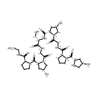 O=C(O)CNC(=O)[C@@H]1CCCN1C(=O)[C@@H]1C[C@@H](O)CN1C(=O)CNC(=O)[C@H](CS)NC(=O)[C@@H]1C[C@@H](O)CN1C(=O)CNC(=O)[C@@H]1CCCN1C(=O)[C@@H]1C[C@@H](O)CN1